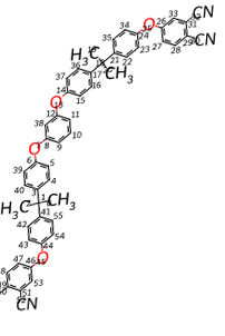 CC(C)(c1ccc(Oc2cccc(Oc3ccc(C(C)(C)c4ccc(Oc5ccc(C#N)c(C#N)c5)cc4)cc3)c2)cc1)c1ccc(Oc2ccc(C#N)c(C#N)c2)cc1